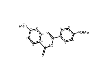 C=C(OC(=C)c1ccc(OC)cc1)c1ccc(OC)cc1